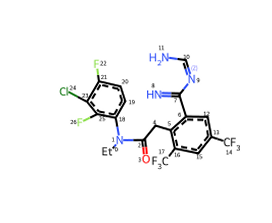 CCN(C(=O)Cc1c(C(=N)/N=C\N)cc(C(F)(F)F)cc1C(F)(F)F)c1ccc(F)c(Cl)c1F